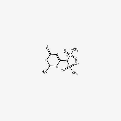 CC1CC(=O)C=C(N(S(C)(=O)=O)S(=O)(=O)C(F)(F)F)C1